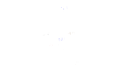 Br.CC(NC(=O)c1ccc(Br)cc1)c1ccc2c(c1)CCN2